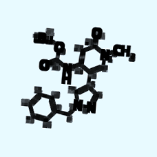 Cn1cc(-c2cnn(Cc3ccccc3)c2)c(NC(=O)OC(C)(C)C)cc1=O